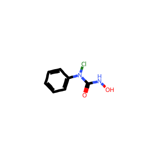 O=C(NO)N(Cl)c1ccccc1